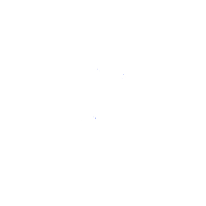 CC1=Cc2c(N)c3nccccc-3c2NS1.Cl